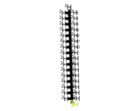 [2H]C([2H])([2H])C([2H])([2H])C([2H])([2H])C([2H])([2H])C([2H])([2H])C([2H])([2H])C([2H])([2H])C([2H])([2H])C([2H])([2H])C([2H])([2H])C([2H])([2H])C([2H])([2H])C([2H])([2H])C([2H])([2H])C([2H])([2H])C([2H])([2H])S